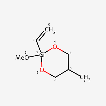 C=C[Si]1(OC)OCC(C)CO1